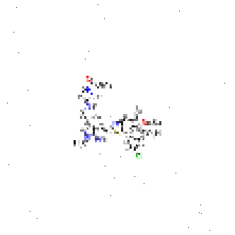 COC(=O)N1CC[C@@H](N2CCC(c3cn(C)c4ncc(-c5nc6cc(C)c(C(OC(C)(C)C)C(=O)O)c(-c7ccc(Cl)cc7)c6s5)cc34)CC2)C1